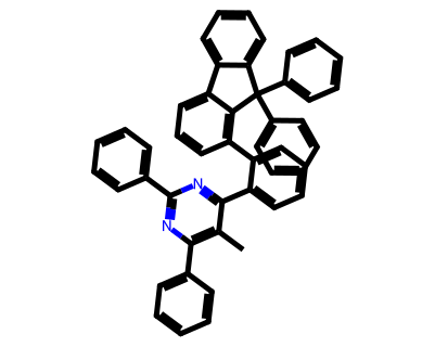 Cc1c(-c2ccccc2)nc(-c2ccccc2)nc1-c1ccccc1-c1cccc2c1C(c1ccccc1)(c1ccccc1)c1ccccc1-2